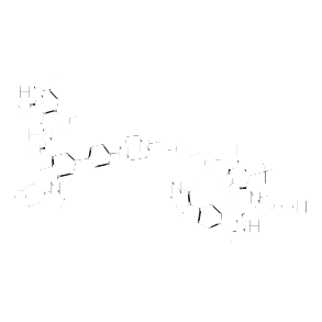 CCN(c1cc(-c2ccc(N3CCN(CCOCCOCC(=O)N[C@H](C(=O)N4C[C@H](O)C[C@H]4C(=O)N[C@@H](C)c4ccc(-c5scnc5C)cc4)C(C)(C)C)CC3)cc2)cc(C(=O)NCc2c(OC)cc(C)[nH]c2=O)c1C)C1CCOCC1